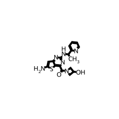 CC(Nc1nc(C(=O)N2CC(O)C2)c2sc(N)cc2n1)c1ccccn1